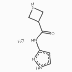 Cl.O=C(Nc1cc[nH]n1)C1CNC1